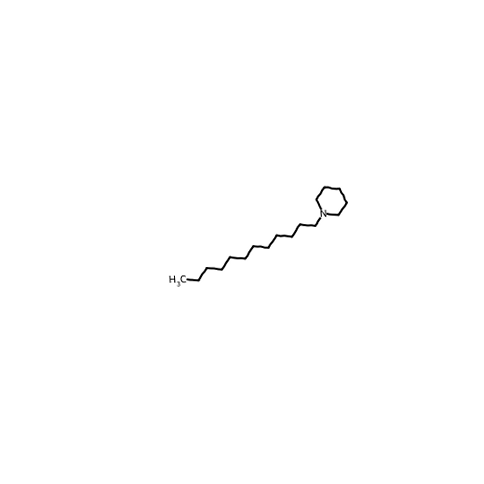 CCCCCCCCCCCCN1CCCCC1